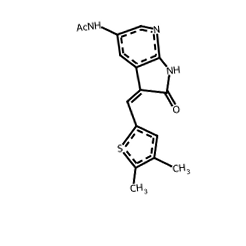 CC(=O)Nc1cnc2c(c1)C(=Cc1cc(C)c(C)s1)C(=O)N2